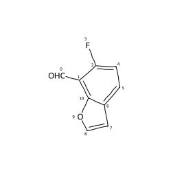 O=Cc1c(F)ccc2ccoc12